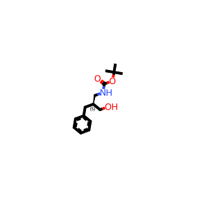 CC(C)(C)OC(=O)NC[C@@H](CO)Cc1ccccc1